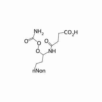 CCCCCCCCCCCC(NC(=O)CCC(=O)O)OOC(N)=O